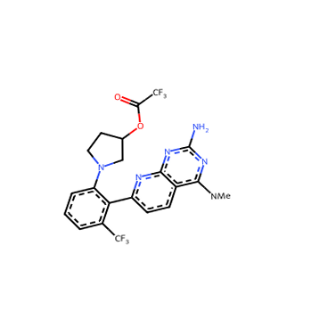 CNc1nc(N)nc2nc(-c3c(N4CCC(OC(=O)C(F)(F)F)C4)cccc3C(F)(F)F)ccc12